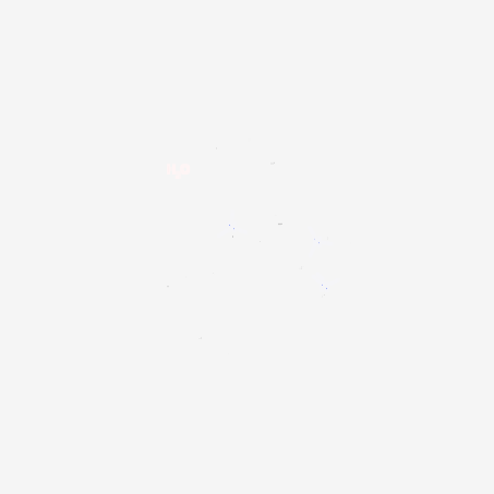 O.O=C(O)C=CC(=O)O.O=C(O)CCn1cc(Cn2ccnc2)c2ccccc21